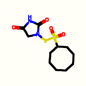 O=C1CN(SS(=O)(=O)C2CCCCCCC2)C(=O)N1